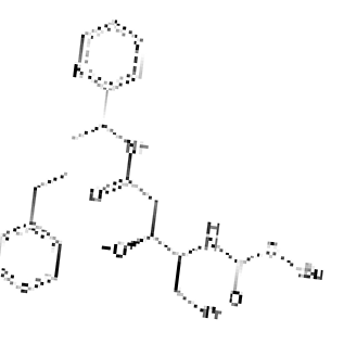 CC(C)C[C@H](NC(=O)OC(C)(C)C)[C@@H](O)CC(=O)NC(CCCc1ccccc1)c1ccccn1